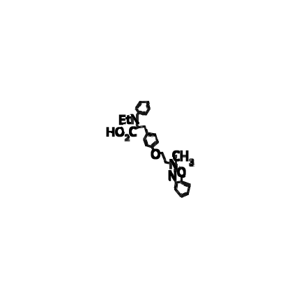 CCN(c1ccccc1)C(Cc1ccc(OCCN(C)c2nc3ccccc3o2)cc1)C(=O)O